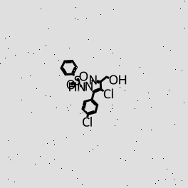 O=S(=O)(Nn1nc(CO)c(Cl)c1-c1ccc(Cl)cc1)c1ccccc1